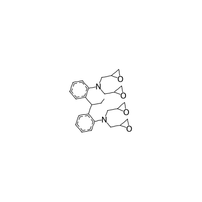 CCC(c1ccccc1N(CC1CO1)CC1CO1)c1ccccc1N(CC1CO1)CC1CO1